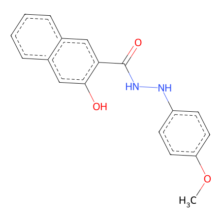 COc1ccc(NNC(=O)c2cc3ccccc3cc2O)cc1